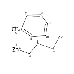 CCC[CH2][Zn+].[Cl-].c1ccccc1